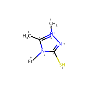 CCn1c(S)n[n+](C)c1C